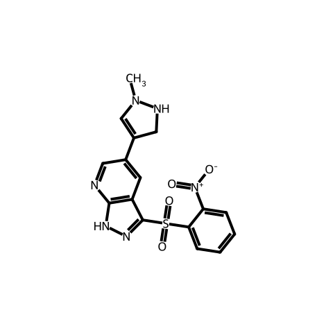 CN1C=C(c2cnc3[nH]nc(S(=O)(=O)c4ccccc4[N+](=O)[O-])c3c2)CN1